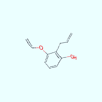 C=CCc1c(O)cccc1OC=C